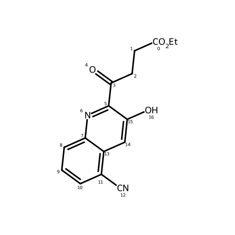 CCOC(=O)CCC(=O)c1nc2cccc(C#N)c2cc1O